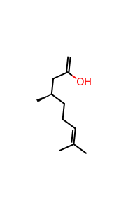 C=C(O)C[C@H](C)CCC=C(C)C